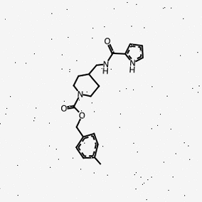 Cc1ccc(COC(=O)N2CCC(CNC(=O)c3ccc[nH]3)CC2)cc1